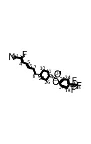 N#CC(F)=CC=CCC[C@H]1CC[C@H](C(=O)Oc2ccc(C(F)(F)F)cc2)CC1